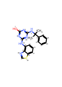 CC(C)(Nc1nc(O)nc(Nc2cccc3scnc23)n1)c1ccccc1